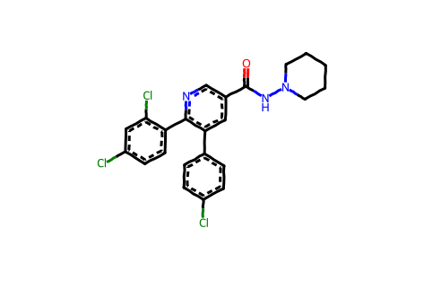 O=C(NN1CCCCC1)c1cnc(-c2ccc(Cl)cc2Cl)c(-c2ccc(Cl)cc2)c1